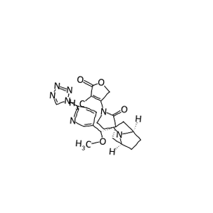 CO[C@@H](CN1[C@@H]2CC[C@H]1C[C@@]1(CCN(C3=C(C)C(=O)OC3)C1=O)C2)c1ccc(-n2cnnn2)nc1